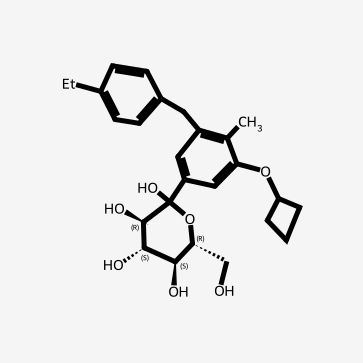 CCc1ccc(Cc2cc(C3(O)O[C@H](CO)[C@@H](O)[C@H](O)[C@H]3O)cc(OC3CCC3)c2C)cc1